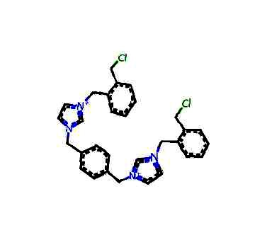 ClCc1ccccc1Cn1cc[n+](Cc2ccc(Cn3cc[n+](Cc4ccccc4CCl)c3)cc2)c1